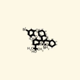 Cc1cc(Br)cc(C)c1Oc1ccc(C(C)(C)O)cc1-c1c2c(nc(C3CCCCC3)c1S(N)(=O)=O)CCCC2